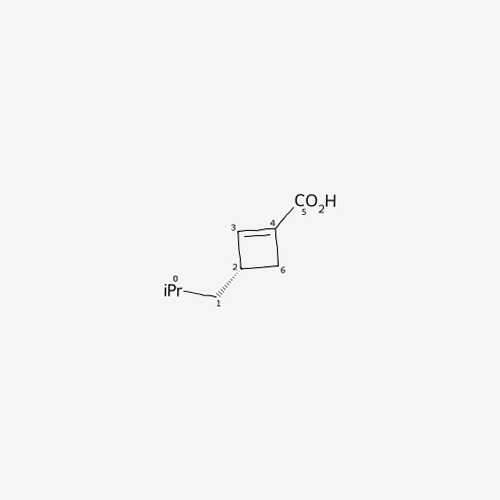 CC(C)C[C@@H]1C=C(C(=O)O)C1